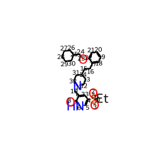 CCS(=O)(=O)c1c[nH]c(=O)c(CN2CCC(CCc3ccccc3OCC3CCCCC3)CC2)c1